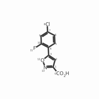 O=C(O)c1cc(-c2ccc(Cl)cc2F)on1